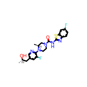 C[C@H](O)Cc1cnc(N2CCN(C(=O)Nc3nc4ccc(F)cc4s3)C[C@@H]2C)c(F)c1